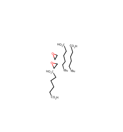 C1CO1.C1CO1.CC(C)(C)CCCCC(=O)O.CC(C)(C)CCCCC(=O)O.O=C(O)CCCCC(=O)O